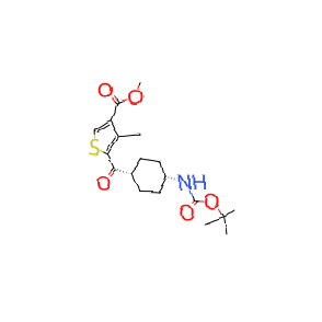 COC(=O)c1csc(C(=O)[C@H]2CC[C@@H](NC(=O)OC(C)(C)C)CC2)c1C